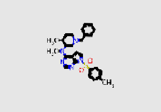 Cc1ccc(S(=O)(=O)n2ccc3c(N(C)[C@@H]4CN(Cc5ccccc5)CC[C@@H]4C)ncnc32)cc1